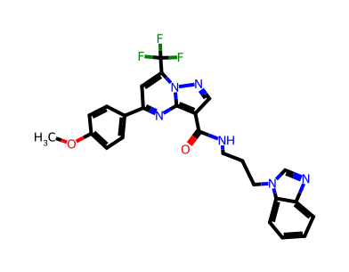 COc1ccc(-c2cc(C(F)(F)F)n3ncc(C(=O)NCCCn4cnc5ccccc54)c3n2)cc1